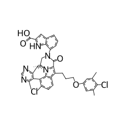 Cc1cc(OCCCc2c3n(c4c(-c5c(C)ncnc5C)c(Cl)ccc24)[C@H](C)CN(c2cccc4cc(C(=O)O)[nH]c24)C3=O)cc(C)c1Cl